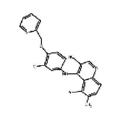 Cc1ccc2ncc(C#N)c(Nc3ccc(OCc4ccccn4)c(Cl)c3)c2c1C(C)C